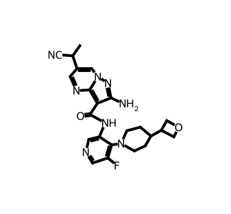 CC(C#N)c1cnc2c(C(=O)Nc3cncc(F)c3N3CCC(C4COC4)CC3)c(N)nn2c1